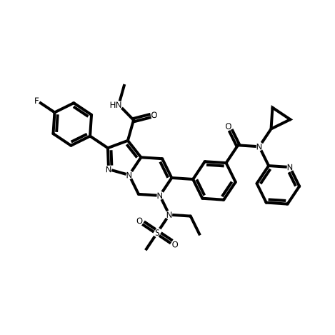 CCN(N1Cn2nc(-c3ccc(F)cc3)c(C(=O)NC)c2C=C1c1cccc(C(=O)N(c2ccccn2)C2CC2)c1)S(C)(=O)=O